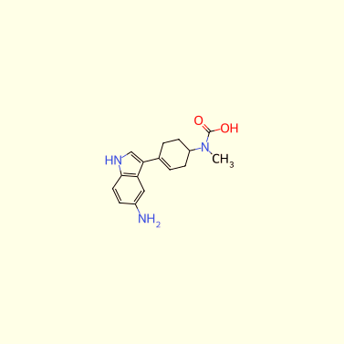 CN(C(=O)O)C1CC=C(c2c[nH]c3ccc(N)cc23)CC1